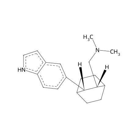 CN(C)C[C@@H]1C2CCC(CC2)[C@@H]1c1ccc2[nH]ccc2c1